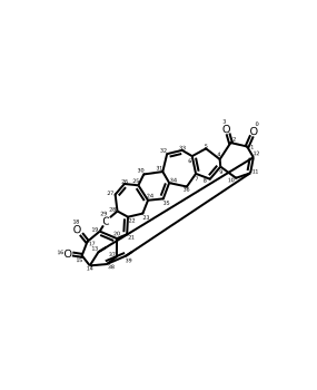 O=C1C(=O)C2CC3=C4C=C2CC2=C1CC1C(=O)C(=O)C5=C(C=C6CC7=C(C=CC6C5)CC(C=C3)C(=C7)C4)CC1=C2